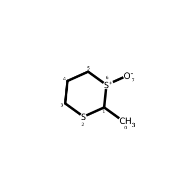 CC1SCCC[S+]1[O-]